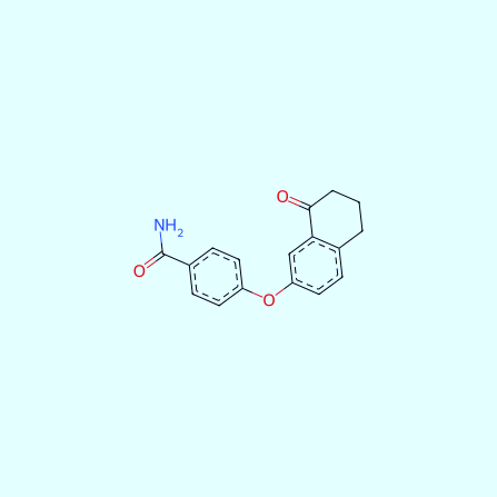 NC(=O)c1ccc(Oc2ccc3c(c2)C(=O)CCC3)cc1